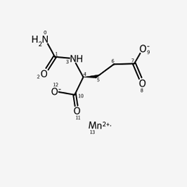 NC(=O)N[C@@H](CCC(=O)[O-])C(=O)[O-].[Mn+2]